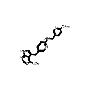 COc1ccc(CNc2ccc(Cc3c[nH]c4ncnc(OC)c34)cn2)cn1